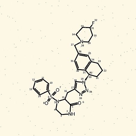 O=C1NCCN(S(=O)(=O)c2ccccc2)C1Cc1cn([C@@H]2CCCc3cc(CN4CCC(F)CC4)ccc32)nn1